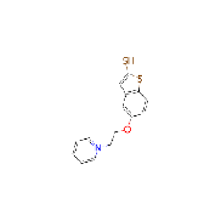 Sc1cc2cc(OCC[n+]3ccccc3)ccc2s1